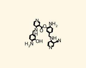 N#Cc1cnccc1NCc1ccc(N)c(OC(=O)c2cnccc2NCc2ccc(N)c(O)c2)c1